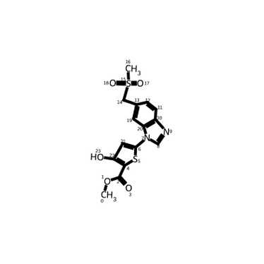 COC(=O)c1sc(-n2cnc3ccc(CS(C)(=O)=O)cc32)cc1O